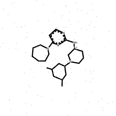 CC1CC(C)CC(N2CCC[C@H](Nc3nccc(N4CCCCCC4)n3)C2)C1